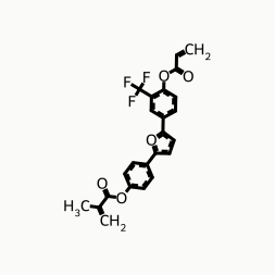 C=CC(=O)Oc1ccc(-c2ccc(-c3ccc(OC(=O)C(=C)C)cc3)o2)cc1C(F)(F)F